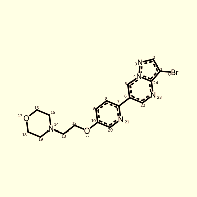 Brc1cnn2cc(-c3ccc(OCCN4CCOCC4)cn3)cnc12